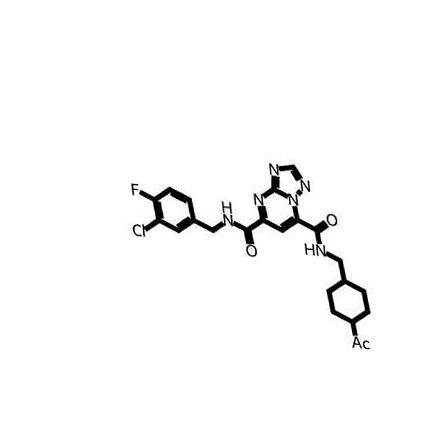 CC(=O)C1CCC(CNC(=O)c2cc(C(=O)NCc3ccc(F)c(Cl)c3)nc3ncnn23)CC1